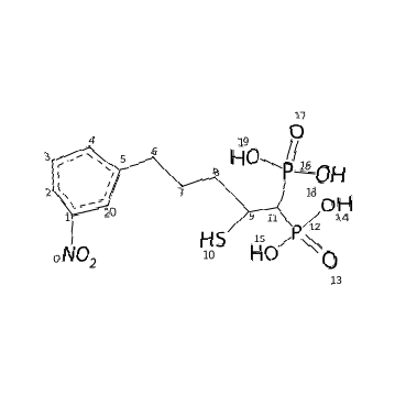 O=[N+]([O-])c1cccc(CCCC(S)C(P(=O)(O)O)P(=O)(O)O)c1